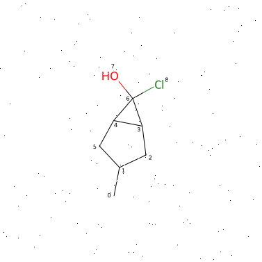 CC1CC2C(C1)C2(O)Cl